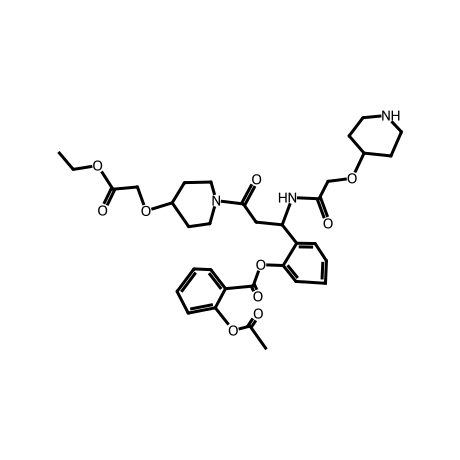 CCOC(=O)COC1CCN(C(=O)CC(NC(=O)COC2CCNCC2)c2ccccc2OC(=O)c2ccccc2OC(C)=O)CC1